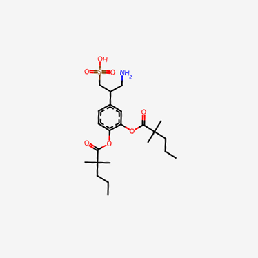 CCCC(C)(C)C(=O)Oc1ccc(C(CN)CS(=O)(=O)O)cc1OC(=O)C(C)(C)CCC